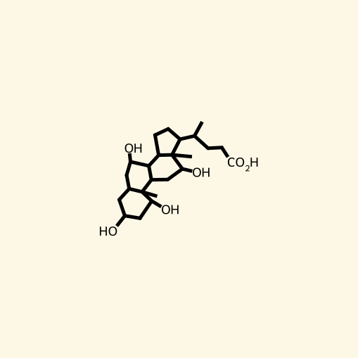 CC(CCC(=O)O)C1CCC2C3C(O)CC4CC(O)CC(O)C4(C)C3CC(O)C12C